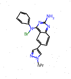 CCCn1cc(-c2ccc3nc(N)nc(N(Br)c4ccccc4)c3c2)cn1